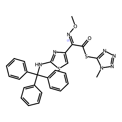 CO/N=C(\C(=O)Sc1nnnn1C)c1csc(NC(c2ccccc2)(c2ccccc2)c2ccccc2)n1